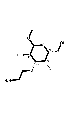 COC1O[C@H](CO)[C@H](O)[C@H](OCCN)[C@H]1O